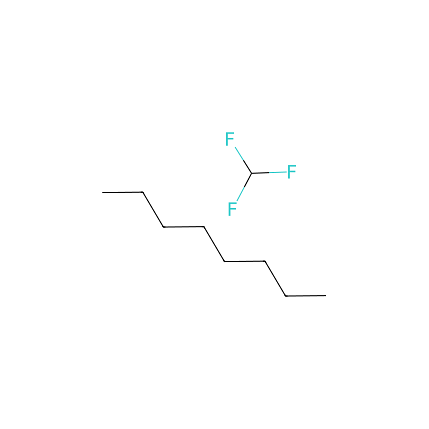 CCCCCCCC.FC(F)F